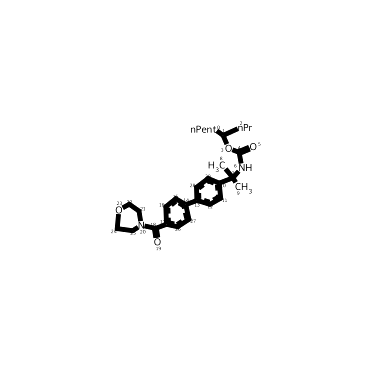 CCCCCC(CCC)OC(=O)NC(C)(C)c1ccc(-c2ccc(C(=O)N3CCOCC3)cc2)cc1